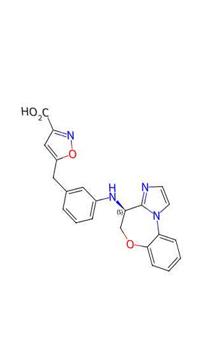 O=C(O)c1cc(Cc2cccc(N[C@@H]3COc4ccccc4-n4ccnc43)c2)on1